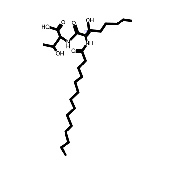 CCCCCCCCCCCCCC(=O)N/C(C(=O)NC(C(=O)O)C(C)O)=C(/O)CCCCC